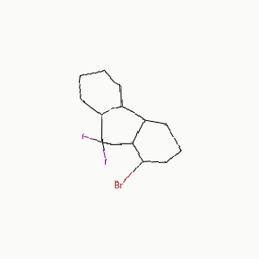 BrC1CCCC2C3CCCCC3C(I)(I)C12